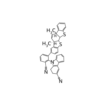 C[C@]12C=C[C@]3(C)c4cc(-c5cccc(C#N)c5-n5c6c(c7ccccc75)C=C(C#N)CC6)ccc4SC3C1Sc1ccccc12